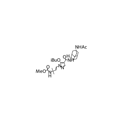 COC(=O)NC(C)(C)/C=C/n1ncc(C(=O)N[C@H]2C3CC4CC2C[C@](NC(C)=O)(C4)C3)c1OCC(C)C